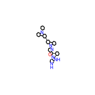 C1=CC2=C(CN1)NC1c3ccccc3-c3c(oc4ccc(-n5c6ccccc6c6cc(-c7ccc8c(c7)c7ccccc7n8-c7ccccc7)ccc65)nc34)N21